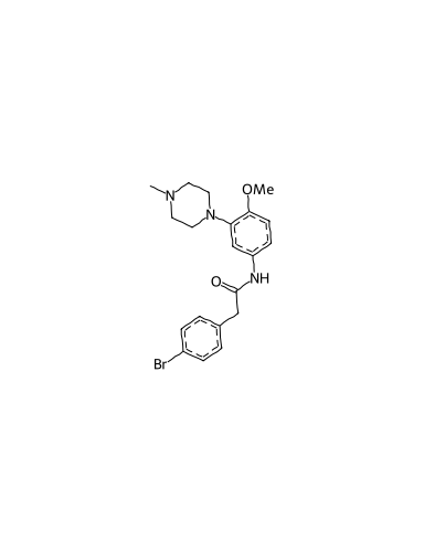 COc1ccc(NC(=O)Cc2ccc(Br)cc2)cc1N1CCN(C)CC1